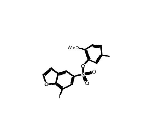 COc1ccc(C)cc1OS(=O)(=O)c1cc(I)c2occc2c1